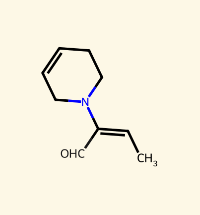 CC=C(C=O)N1CC=CCC1